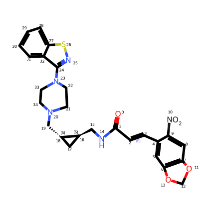 O=C(/C=C/c1cc2c(cc1[N+](=O)[O-])OCO2)NC[C@H]1C[C@@H]1CN1CCN(c2nsc3ccccc23)CC1